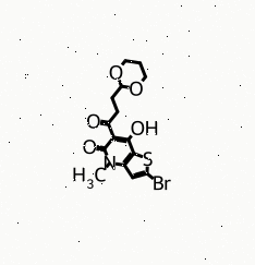 Cn1c(=O)c(C(=O)CCC2OCCCO2)c(O)c2sc(Br)cc21